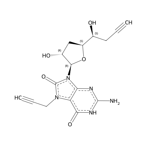 C#CC[C@H](O)[C@@H]1C[C@@H](O)[C@H](n2c(=O)n(CC#C)c3c(=O)[nH]c(N)nc32)O1